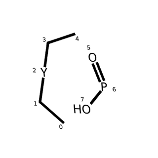 C[CH2][Y][CH2]C.O=PO